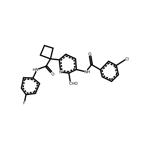 O=Cc1nc(C2(C(=O)Nc3ccc(F)cc3)CCC2)ccc1NC(=O)c1cccc(Cl)c1